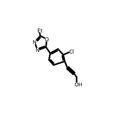 CCc1nnc(-c2ccc(C#CCO)c(Cl)c2)o1